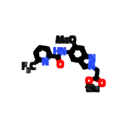 COc1cc2nn(CC(=O)OC(C)(C)C)cc2cc1NC(=O)c1cccc(C(F)(F)F)n1